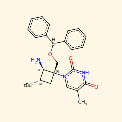 Cc1cn([C@]2(CO[SiH](c3ccccc3)c3ccccc3)C[C@H](C(C)(C)C)[C@H]2N)c(=O)[nH]c1=O